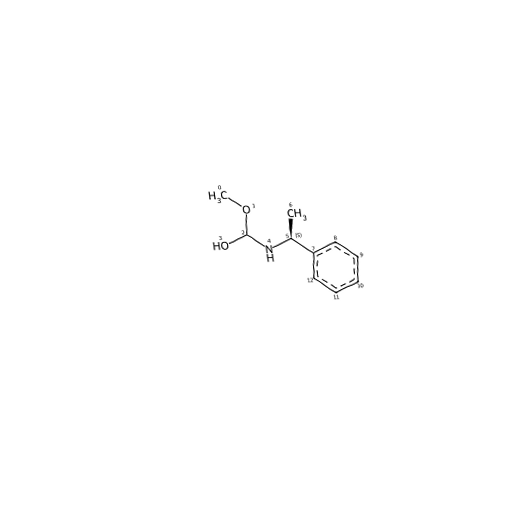 COC(O)N[C@@H](C)c1ccccc1